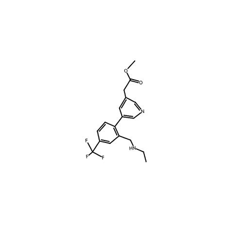 CCNCc1cc(C(F)(F)F)ccc1-c1cncc(CC(=O)OC)c1